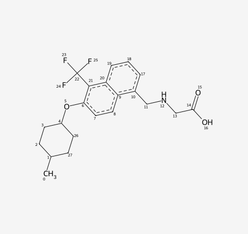 CC1CCC(Oc2ccc3c(CNCC(=O)O)cccc3c2C(F)(F)F)CC1